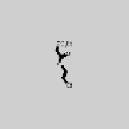 CC/C=C/OC(=O)CC(=O)OCC